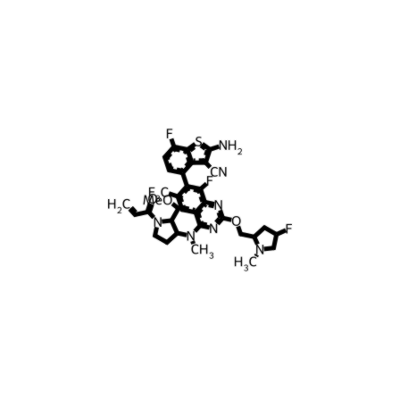 C=CC(=O)N1CCC(N(C)c2nc(OCC3CC(F)CN3C)nc3c(F)c(-c4ccc(F)c5sc(N)c(C#N)c45)c(C(F)(F)F)cc23)C1COC